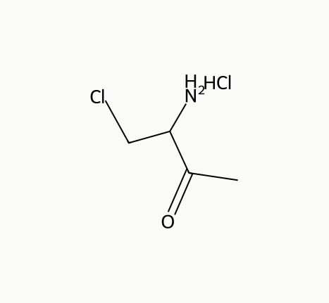 CC(=O)C(N)CCl.Cl